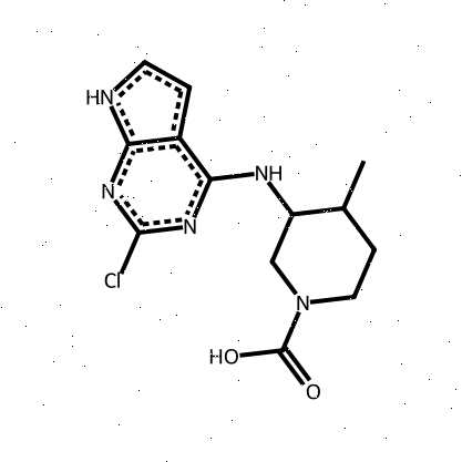 CC1CCN(C(=O)O)CC1Nc1nc(Cl)nc2[nH]ccc12